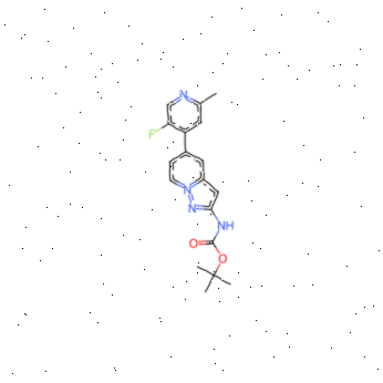 Cc1cc(-c2ccn3nc(NC(=O)OC(C)(C)C)cc3c2)c(F)cn1